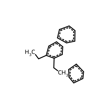 CCc1ccccc1CC.c1ccccc1.c1ccccc1